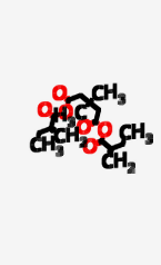 C=C(CC)C(=O)OC(=O)CC(C)(C)CC(=O)OC(=O)C(=C)CC